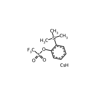 C[Si](C)(C)c1ccccc1OS(=O)(=O)C(F)(F)F.[CsH]